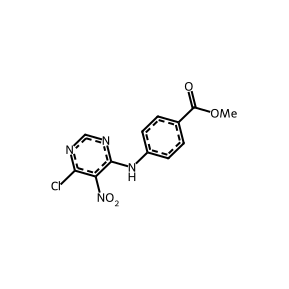 COC(=O)c1ccc(Nc2ncnc(Cl)c2[N+](=O)[O-])cc1